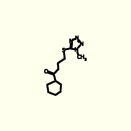 Cn1nnnc1SCCCC(=O)C1CCCCC1